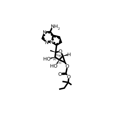 CCC(C)(C)OC(=O)OC1[C@H]2O[C@@](C)(c3ccc4c(N)ncnn34)[C@H](O)[C@@]12O